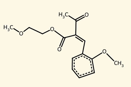 COCCOC(=O)/C(=C\c1ccccc1OC)C(C)=O